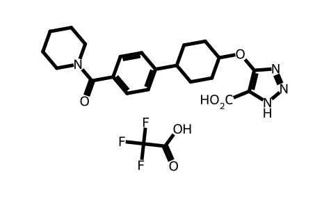 O=C(O)C(F)(F)F.O=C(O)c1[nH]nnc1OC1CCC(c2ccc(C(=O)N3CCCCC3)cc2)CC1